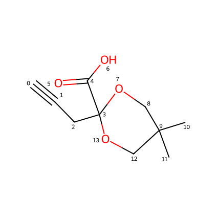 C#CCC1(C(=O)O)OCC(C)(C)CO1